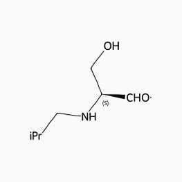 CC(C)CN[C@H]([C]=O)CO